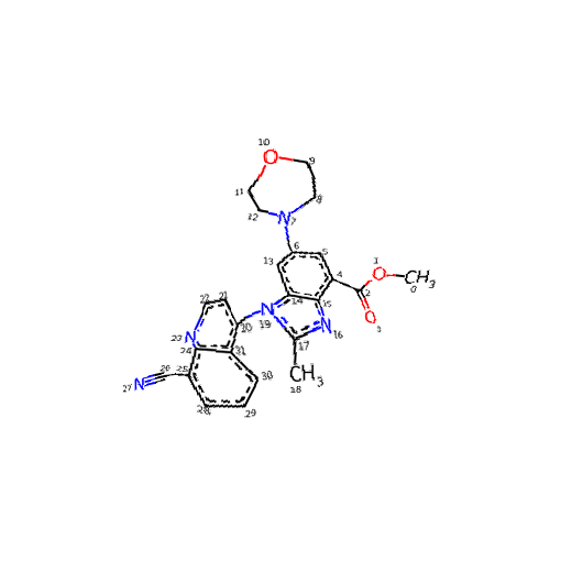 COC(=O)c1cc(N2CCOCC2)cc2c1nc(C)n2-c1ccnc2c(C#N)cccc12